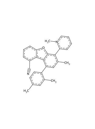 Cc1ccc(-c2cc(C)c(-c3cccc[n+]3C)c3oc4cccc(C#N)c4c23)c(C)c1